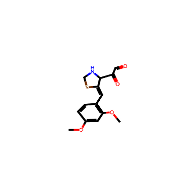 COc1ccc(C=C2SCNC2C(=O)C=O)c(OC)c1